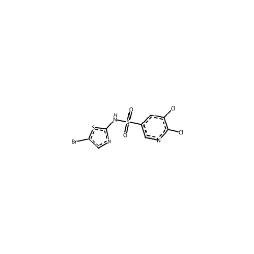 O=S(=O)(Nc1ncc(Br)s1)c1cnc(Cl)c(Cl)c1